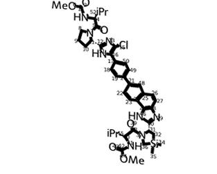 COC(=O)N[C@H](C(=O)N1CCC[C@H]1c1nc(Cl)c(-c2ccc(-c3ccc4c(ccc5nc([C@@H]6C[Si](C)(C)CN6C(=O)[C@@H](NC(=O)OC)C(C)C)[nH]c54)c3)cc2)[nH]1)C(C)C